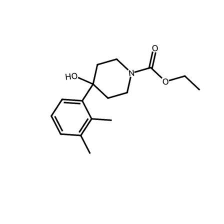 CCOC(=O)N1CCC(O)(c2cccc(C)c2C)CC1